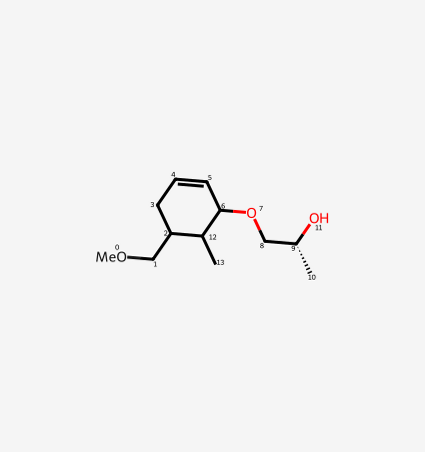 COCC1CC=CC(OC[C@@H](C)O)C1C